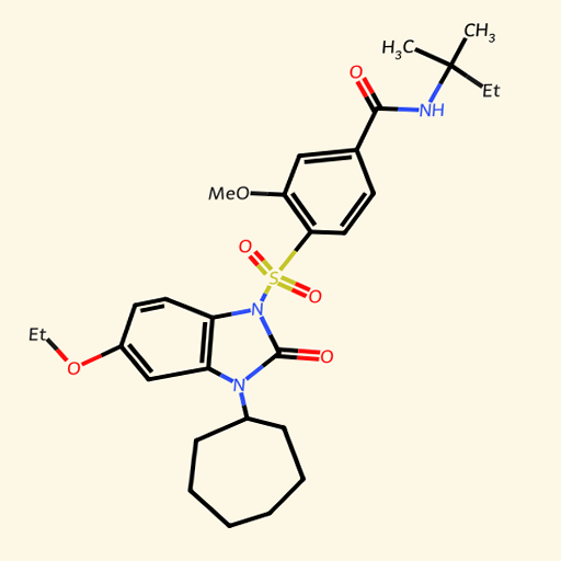 CCOc1ccc2c(c1)n(C1CCCCCC1)c(=O)n2S(=O)(=O)c1ccc(C(=O)NC(C)(C)CC)cc1OC